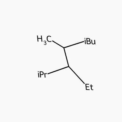 [CH2]C(C)C(CC)C(C)C(C)CC